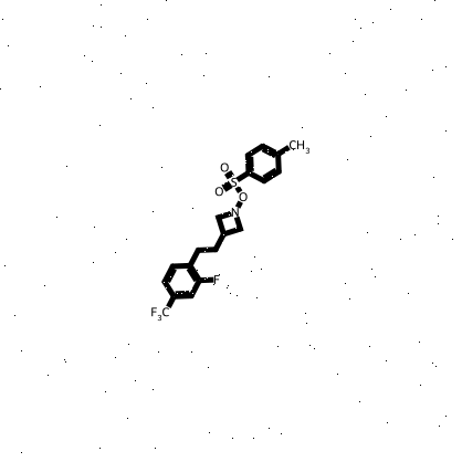 Cc1ccc(S(=O)(=O)ON2CC(CCc3ccc(C(F)(F)F)cc3F)C2)cc1